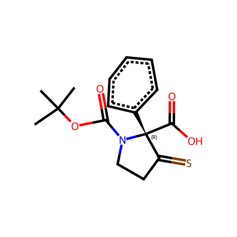 CC(C)(C)OC(=O)N1CCC(=S)[C@]1(C(=O)O)c1ccccc1